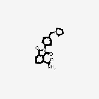 NC(=O)c1cccc2c1C(=O)N(c1ccc(CN3CCCC3)cc1)C2=O